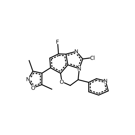 Cc1noc(C)c1-c1cc(F)c2nc(Cl)n3c2c1OCC3c1cccnc1